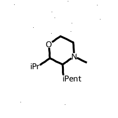 CCCC(C)C1C(C(C)C)OCCN1C